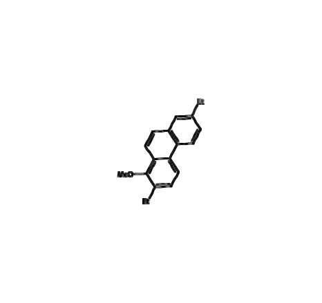 CCc1ccc2c(ccc3c(OC)c(CC)ccc32)c1